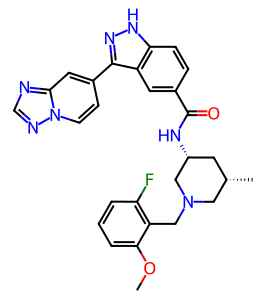 COc1cccc(F)c1CN1C[C@@H](C)C[C@@H](NC(=O)c2ccc3[nH]nc(-c4ccn5ncnc5c4)c3c2)C1